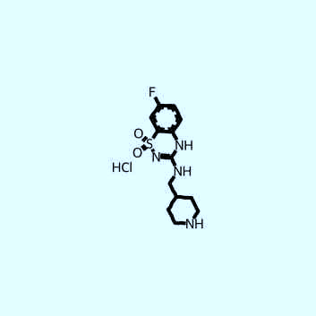 Cl.O=S1(=O)N=C(NCC2CCNCC2)Nc2ccc(F)cc21